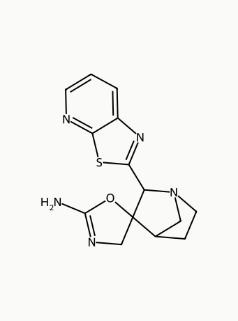 NC1=NCC2(O1)C1CCN(C1)C2c1nc2cccnc2s1